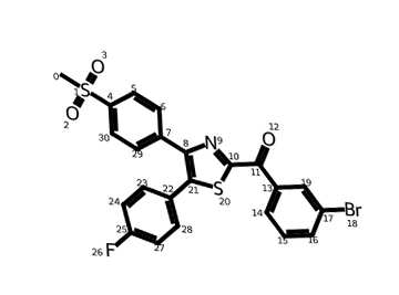 CS(=O)(=O)c1ccc(-c2nc(C(=O)c3cccc(Br)c3)sc2-c2ccc(F)cc2)cc1